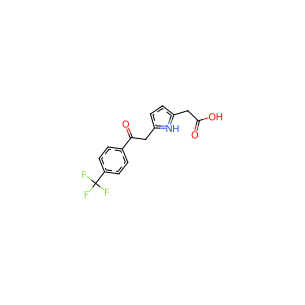 O=C(O)Cc1ccc(CC(=O)c2ccc(C(F)(F)F)cc2)[nH]1